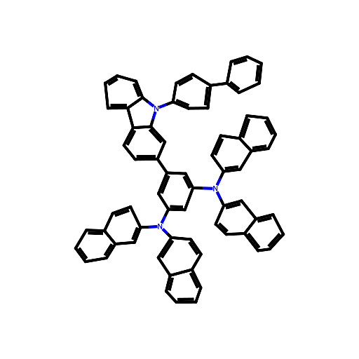 c1ccc(-c2ccc(-n3c4ccccc4c4ccc(-c5cc(N(c6ccc7ccccc7c6)c6ccc7ccccc7c6)cc(N(c6ccc7ccccc7c6)c6ccc7ccccc7c6)c5)cc43)cc2)cc1